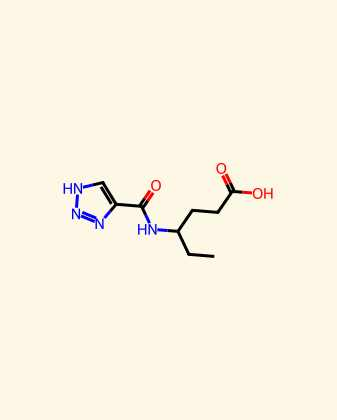 CCC(CCC(=O)O)NC(=O)c1c[nH]nn1